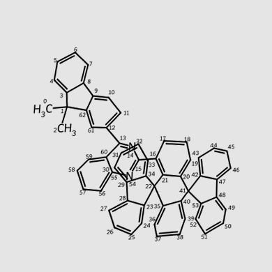 CC1(C)c2ccccc2-c2ccc(-c3nc(-c4cccc5c4C4(c6ccccc6-c6ccccc64)c4ccccc4C54c5ccccc5-c5ccccc54)nc4ccccc34)cc21